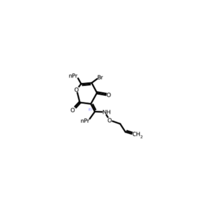 C=CCON/C(CCC)=C1/C(=O)OC(CCC)=C(Br)C1=O